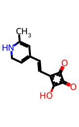 CC1=CC(/C=C/c2c(O)c(=O)c2=O)=CCN1